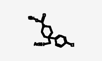 CC(=O)NCC1(c2ccc(Cl)cc2)CCN(C(=O)OC(C)(C)C)CC1